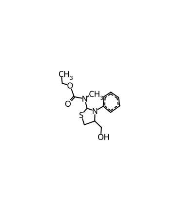 CCOC(=O)N(C)C1SCC(CO)N1c1ccccc1